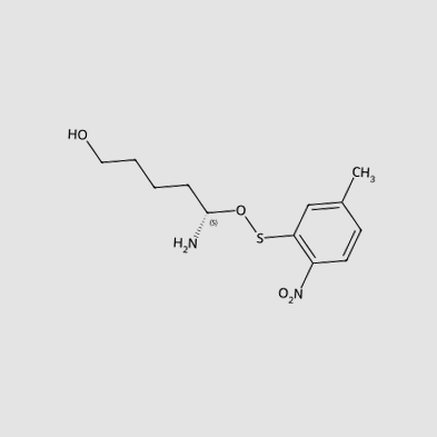 Cc1ccc([N+](=O)[O-])c(SO[C@H](N)CCCCO)c1